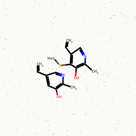 C=Cc1cnc(C)c(O)c1.C=Cc1cnc(C)c(O)c1SSC